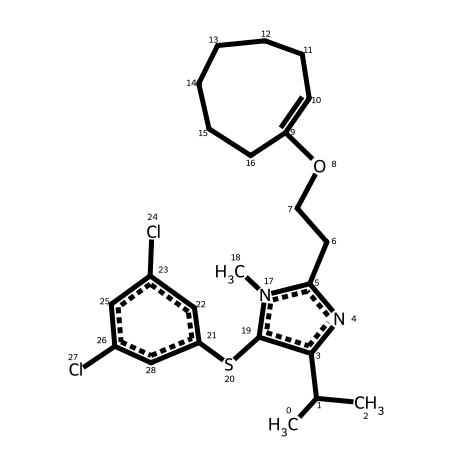 CC(C)c1nc(CCO/C2=C/CCCCCC2)n(C)c1Sc1cc(Cl)cc(Cl)c1